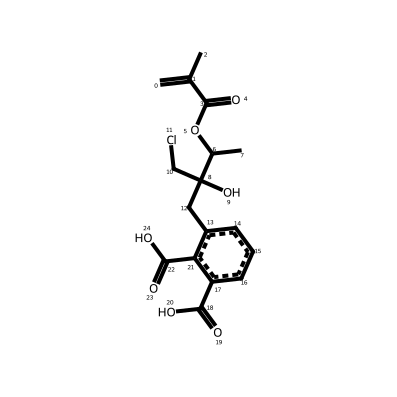 C=C(C)C(=O)OC(C)C(O)(CCl)Cc1cccc(C(=O)O)c1C(=O)O